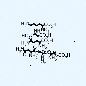 NC(=O)CC(N)C(=O)OCC(N)C(=O)O.NC(=O)CCC(N)C(=O)O.NC(CC(=O)O)C(=O)O.NC(CCC(=O)O)C(=O)O.NCCCCC(N)C(=O)O